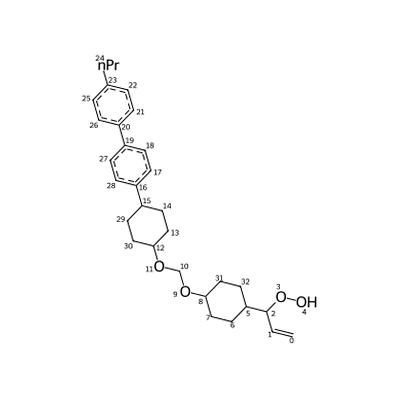 C=CC(OO)C1CCC(OCOC2CCC(c3ccc(-c4ccc(CCC)cc4)cc3)CC2)CC1